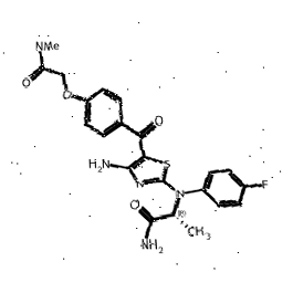 CNC(=O)COc1ccc(C(=O)c2sc(N(c3ccc(F)cc3)[C@H](C)C(N)=O)nc2N)cc1